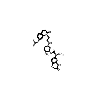 C[C@H]1CC[C@H](NCCn2c(=O)ccc3ccc(OC(F)F)cc32)C[C@@H]1OC(=O)N(C)c1ccc2c(n1)NC(=O)CO2